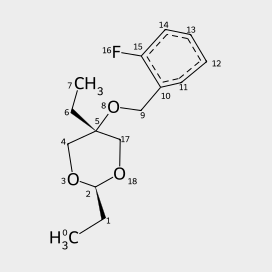 CC[C@H]1OC[C@](CC)(OCc2ccccc2F)CO1